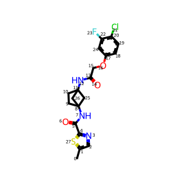 Cc1cnc(C(=O)NC23CCC(NC(=O)COc4ccc(Cl)c(F)c4)(C2)C3)s1